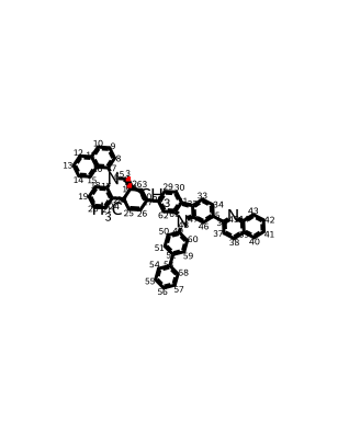 CC1C=CC=C2N(c3cccc4ccccc34)c3ccccc3C3(C)C=CC(c4ccc5c6ccc(-c7ccc8ccccc8n7)cc6n(-c6ccc(-c7ccccc7)cc6)c5c4)=CC213